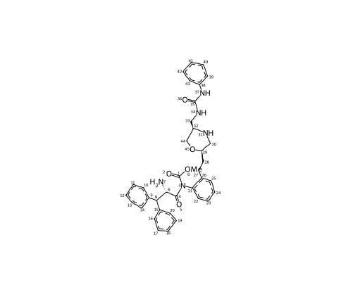 COC(=O)N(C(=O)[C@@H](N)C(c1ccccc1)c1ccccc1)c1ccccc1CC[C@@H]1CN[C@H](CNC(=O)Nc2ccccc2)CO1